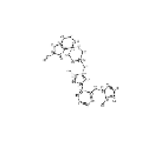 Cc1nn(-c2ncccc2Cn2ccnc2C)cc1CN1CCC2(CC1)OCCc1cc(F)sc12